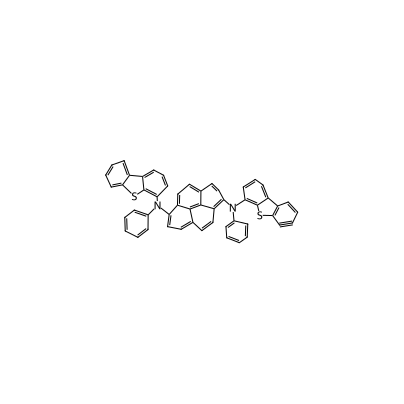 c1ccc2c(c#1)sc1c(N(c3ccccc3)c3ccc4ccc5c(N(c6ccccc6)c6cccc7c6sc6ccccc67)ccc6ccc3c4c65)cccc12